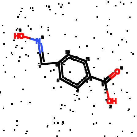 O=C(O)c1ccc(/C=N/O)cc1